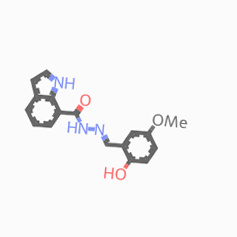 COc1ccc(O)c(C=NNC(=O)c2cccc3cc[nH]c23)c1